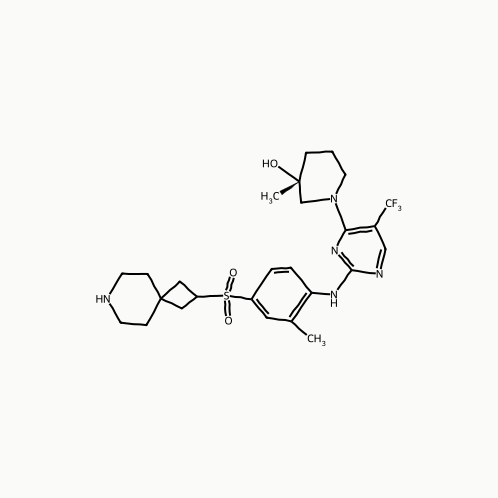 Cc1cc(S(=O)(=O)C2CC3(CCNCC3)C2)ccc1Nc1ncc(C(F)(F)F)c(N2CCC[C@@](C)(O)C2)n1